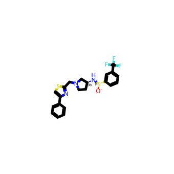 [O-][S@+](N[C@@H]1CCN(Cc2nc(-c3ccccc3)cs2)C1)c1cccc(C(F)(F)F)c1